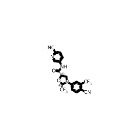 N#Cc1ccc(NC(=O)[C@@H]2CN(c3ccc(C#N)c(C(F)(F)F)c3)[C@@H](C(F)(F)F)O2)cn1